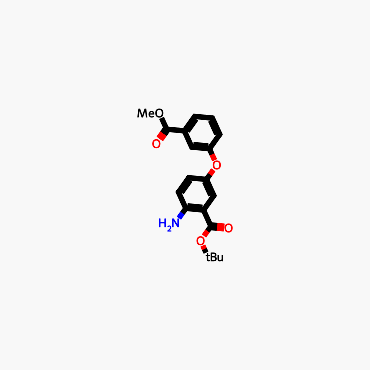 COC(=O)c1cccc(Oc2ccc(N)c(C(=O)OC(C)(C)C)c2)c1